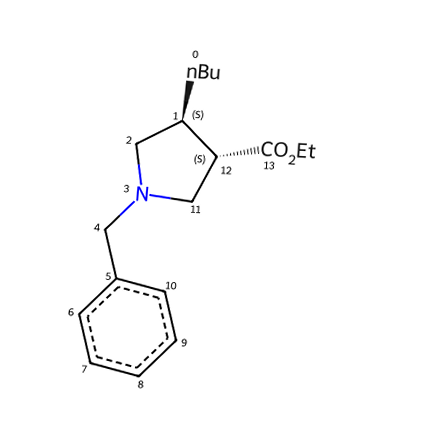 CCCC[C@@H]1CN(Cc2ccccc2)C[C@H]1C(=O)OCC